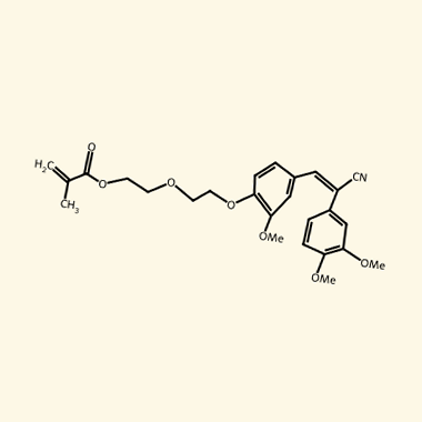 C=C(C)C(=O)OCCOCCOc1ccc(C=C(C#N)c2ccc(OC)c(OC)c2)cc1OC